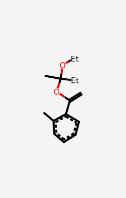 C=C(OC(C)(CC)OCC)c1ccccc1C